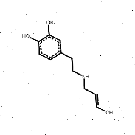 OC=CCNCCc1ccc(O)c(O)c1